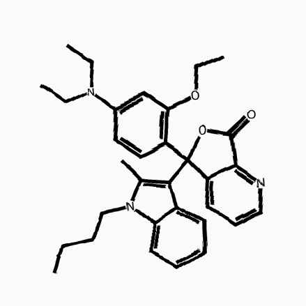 CCCCn1c(C)c(C2(c3ccc(N(CC)CC)cc3OCC)OC(=O)c3ncccc32)c2ccccc21